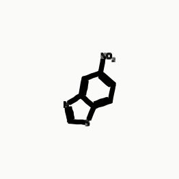 O=[N+]([O-])c1ccc2s[c]nc2c1